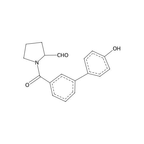 O=CC1CCCN1C(=O)c1cccc(-c2ccc(O)cc2)c1